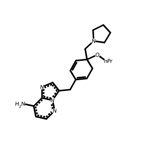 CCCOC1(CN2CCCC2)C=CC(Cc2cnc3c(N)ccnn23)=CC1